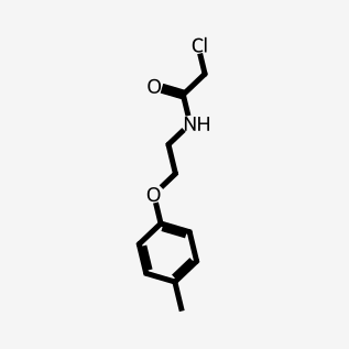 Cc1ccc(OCCNC(=O)CCl)cc1